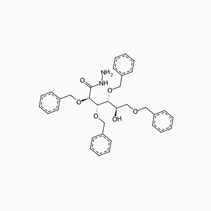 NNC(=O)[C@H](OCc1ccccc1)[C@@H](OCc1ccccc1)[C@H](OCc1ccccc1)[C@H](O)COCc1ccccc1